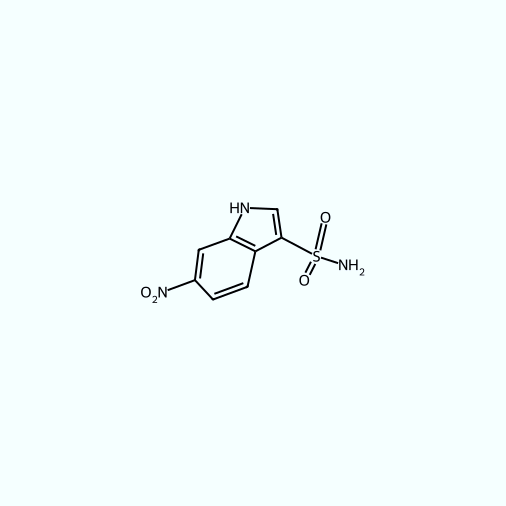 NS(=O)(=O)c1c[nH]c2cc([N+](=O)[O-])ccc12